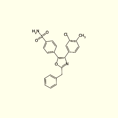 Cc1ccc(-c2nc(Cc3ccccc3)oc2-c2ccc(S(N)(=O)=O)cc2)cc1Cl